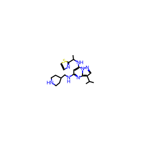 CC(C)c1cnn2c(NC(C)c3nccs3)cc(NCC3CCNCC3)nc12